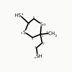 CC1(CCS)CSC(S)CS1